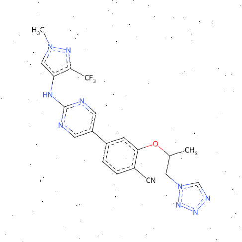 CC(Cn1cnnn1)Oc1cc(-c2cnc(Nc3cn(C)nc3C(F)(F)F)nc2)ccc1C#N